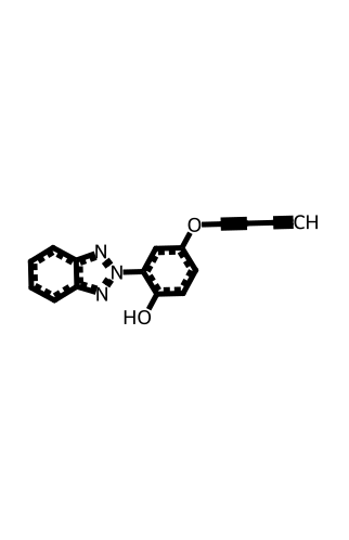 C#CC#COc1ccc(O)c(-n2nc3ccccc3n2)c1